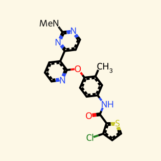 CNc1nccc(-c2cccnc2Oc2ccc(NC(=O)c3sccc3Cl)cc2C)n1